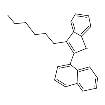 CCCCCCC1=C(c2cccc3ccccc23)[CH]c2ccccc21